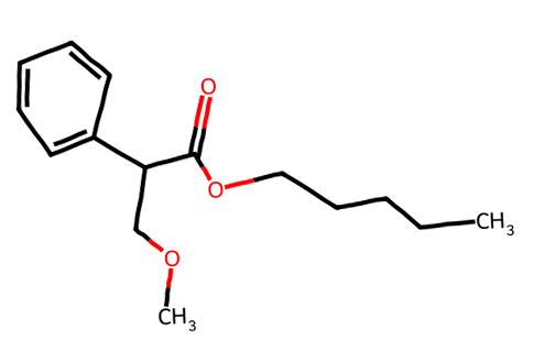 CCCCCOC(=O)C(COC)c1ccccc1